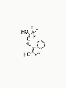 C#Cc1c(O)ccc2ccccc12.O=C(O)C(F)(F)F